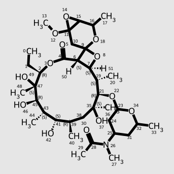 CC[C@H]1OC(=O)[C@H]2[C@@H](OC23CC2(OC)OC2C(C)O3)[C@H](C)[C@@H](OC2CC(N(C)C(C)=O)CC(C)O2)[C@@](C)(O)C[C@@H](C)[C@H](O)[C@H](C)[C@@H](O)[C@]1(C)O